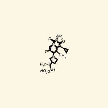 Cc1c(N2CCC([C@H](C)NC(=O)O)C2)c(F)cn2c(=O)n(N)c(=O)c(C3CC3)c12